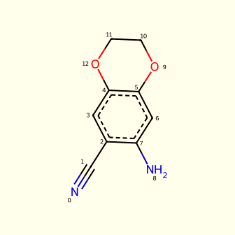 N#Cc1cc2c(cc1N)OCCO2